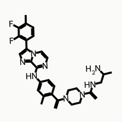 C=C(NCC(C)N)N1CCN(C(=C)c2ccc(Nc3nccn4c(-c5ccc(C)c(F)c5F)cnc34)cc2C)CC1